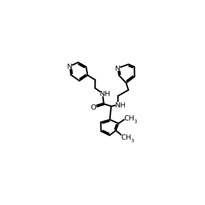 Cc1cccc(C(NCCc2cccnc2)C(=O)NCCc2ccncc2)c1C